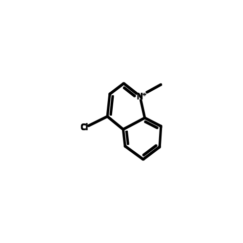 C[n+]1ccc(Cl)c2ccccc21